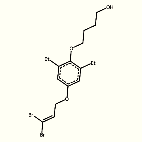 CCc1cc(OCC=C(Br)Br)cc(CC)c1OCCCCO